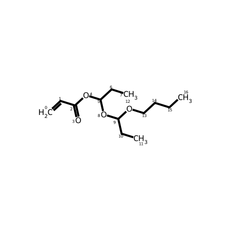 C=CC(=O)OC(CC)OC(CC)OCCCC